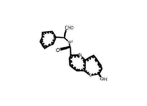 O=[C]C(NC(=O)c1ccc2nc(O)ccc2n1)c1ccccc1